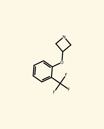 FC(F)(F)c1ccccc1OC1C[N]C1